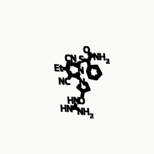 CCc1c(C#N)c(SC(C(N)=O)c2ccccc2)nc(N2CCC(ONC(=N)N)C2)c1C#N